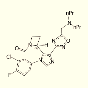 CCCN(CCC)Cc1nc(-c2ncn3c2[C@@H]2CCN2C(=O)c2c-3ccc(F)c2Cl)no1